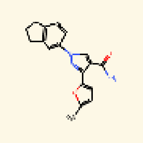 NC(=O)c1cn(-c2ccc3c(c2)CCC3)nc1-c1ccc([N+](=O)[O-])o1